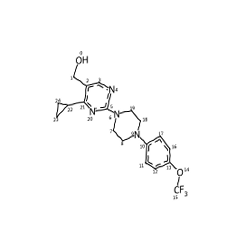 OCc1cnc(N2CCN(c3ccc(OC(F)(F)F)cc3)CC2)nc1C1CC1